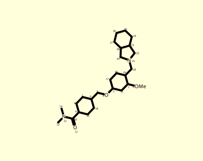 COC1CC(OCC2CCC(C(=O)N(C)C)CC2)CCC1CN1CC2CCCCC2C1